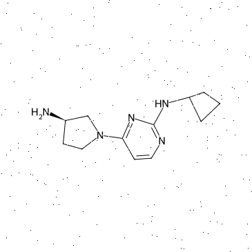 N[C@@H]1CCN(c2ccnc(NC3CCC3)n2)C1